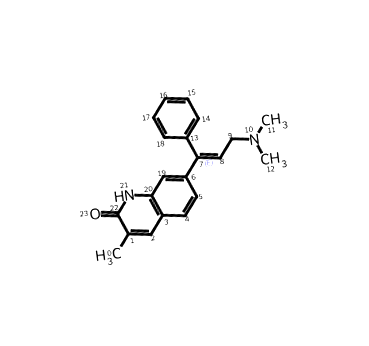 Cc1cc2ccc(/C(=C/CN(C)C)c3ccccc3)cc2[nH]c1=O